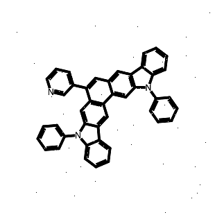 c1ccc(-n2c3ccccc3c3cc4c(cc32)c(-c2cccnc2)cc2cc3c5ccccc5n(-c5ccccc5)c3cc24)cc1